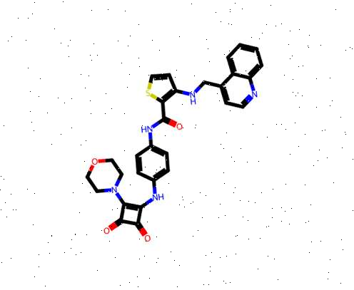 O=C(Nc1ccc(Nc2c(N3CCOCC3)c(=O)c2=O)cc1)c1sccc1NCc1ccnc2ccccc12